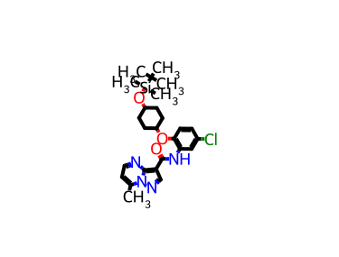 Cc1ccnc2c(C(=O)Nc3cc(Cl)ccc3OC3CCC(O[Si](C)(C)C(C)(C)C)CC3)cnn12